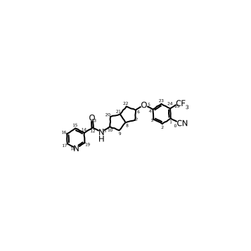 N#Cc1ccc(OC2CC3CC(NC(=O)c4cccnc4)CC3C2)cc1C(F)(F)F